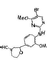 COc1cc(C2CN(C=O)CCO2)ccc1Nc1ncc(Br)c(OC)n1